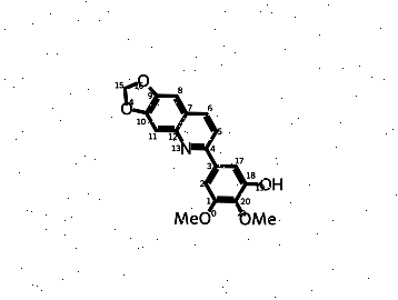 COc1cc(-c2ccc3cc4c(cc3n2)OCO4)cc(O)c1OC